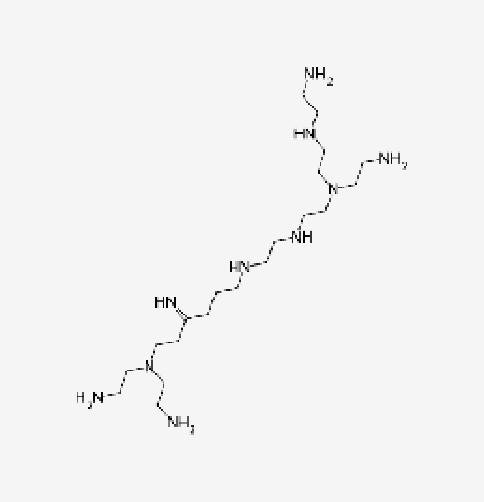 N=C(CCCNCCNCCN(CCN)CCNCCN)CCN(CCN)CCN